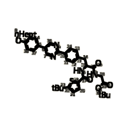 CCCCCCCOc1ccc(-c2cnc(-c3ccc(CC(NC(=O)c4ccc(C(C)(C)C)s4)C(=O)NCC(=O)OC(C)(C)C)cc3)nc2)cc1